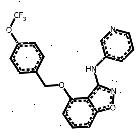 FC(F)(F)Oc1ccc(COc2cccc3onc(Nc4cccnc4)c23)cc1